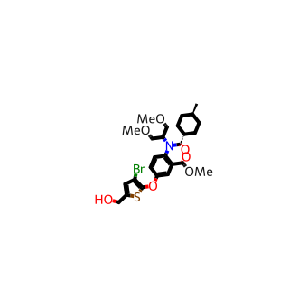 COCC(COC)N(c1ccc(Oc2sc(CO)cc2Br)cc1C(=O)OC)C(=O)[C@H]1CC[C@H](C)CC1